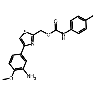 COc1ccc(-c2csc(COC(=O)Nc3ccc(C)cc3)n2)cc1N